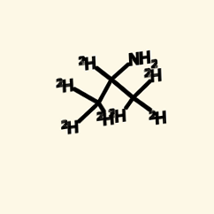 [2H]C([2H])([2H])C([2H])(N)C([2H])([2H])[2H]